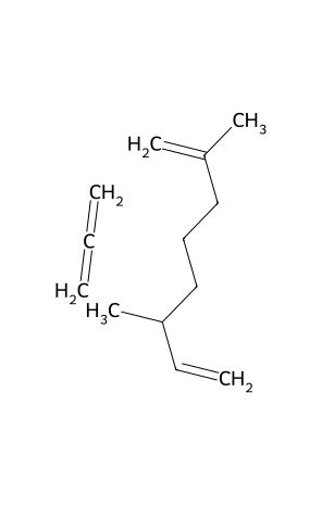 C=C=C.C=CC(C)CCCC(=C)C